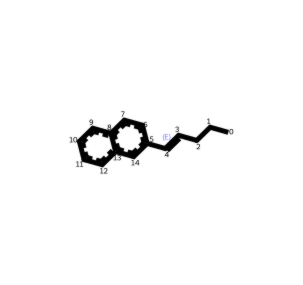 CCC/C=C/c1ccc2[c]cccc2c1